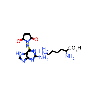 NCCCCC(N)C(=O)O.Nc1nc2nc[nH]c2c(=S)[nH]1.O=C1C=CC(=O)N1